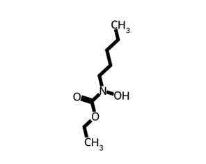 CCCCCN(O)C(=O)OCC